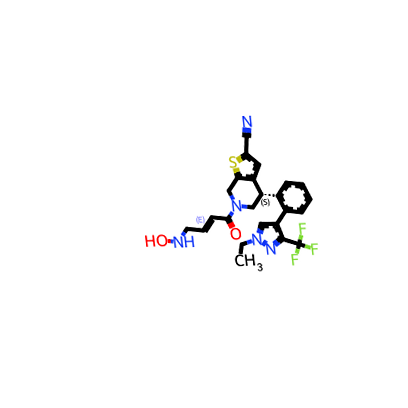 CCn1cc(-c2ccccc2[C@@H]2CN(C(=O)/C=C/CNO)Cc3sc(C#N)cc32)c(C(F)(F)F)n1